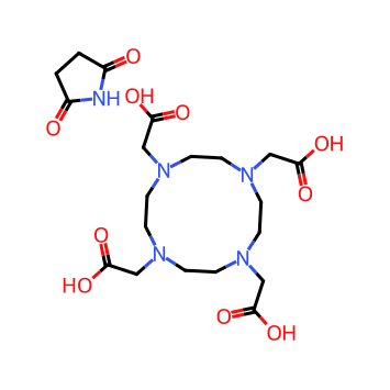 O=C(O)CN1CCN(CC(=O)O)CCN(CC(=O)O)CCN(CC(=O)O)CC1.O=C1CCC(=O)N1